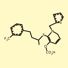 CC(CCc1cccc(C(F)(F)F)c1)SC1=C(OC(=O)O)C=CCN1Cc1cccs1